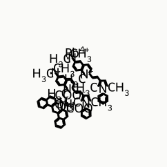 Cc1cc(/C=C/c2ccc3cc(N(C)C)ccc3[n+]2C)c(C)n1-c1ccccc1.Cc1cc(/C=C/c2ccc3cc(N(C)C)ccc3[n+]2C)c(C)n1-c1ccccc1.O=C([O-])c1cc2ccccc2c(Cc2c(O)c(C(=O)[O-])cc3ccccc23)c1O.[Pb+4]